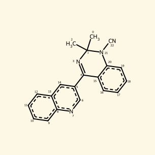 CC1(C)N=C(c2cnc3ccccc3c2)c2ccccc2N1C#N